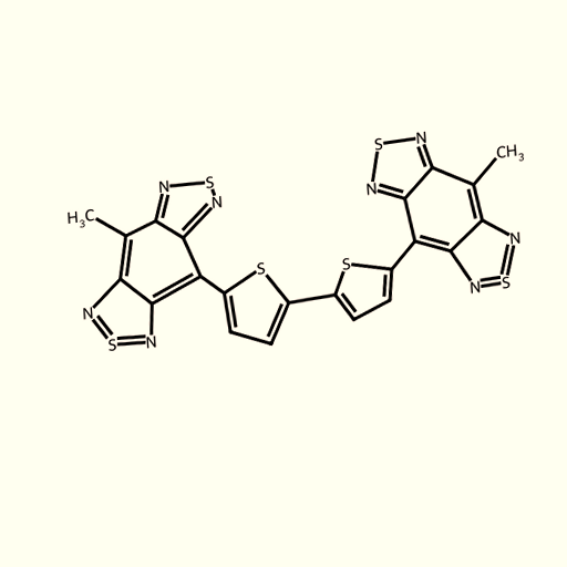 Cc1c2c(c(-c3ccc(-c4ccc(-c5c6c(c(C)c7nsnc57)N=S=N6)s4)s3)c3nsnc13)N=S=N2